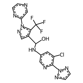 OC(Nc1cnc(-n2nccn2)c(Cl)c1)c1cnn(-c2cnccn2)c1C(F)(F)F